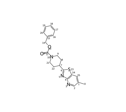 Cc1cnc2nc(C3CCN(C(=O)OCc4ccccc4)CC3)sc2c1